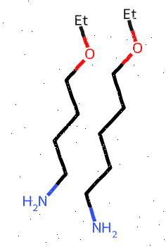 CCOCCCCCN.CCOCCCCN